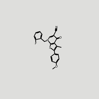 COc1ccc(-c2sc3c(c2C)c(=O)c(C#N)cn3Cc2ccccc2F)cc1